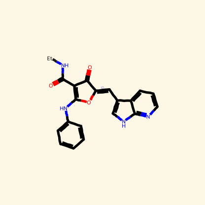 CCNC(=O)C1=C(Nc2ccccc2)O/C(=C\c2c[nH]c3ncccc23)C1=O